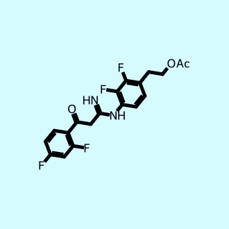 CC(=O)OCCc1ccc(NC(=N)CC(=O)c2ccc(F)cc2F)c(F)c1F